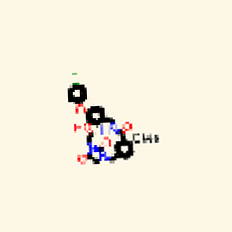 COc1ccc(CN2CC(=O)N(CCO)C2=O)cc1C(=O)NCc1ccc(Oc2ccc(F)cc2)cc1